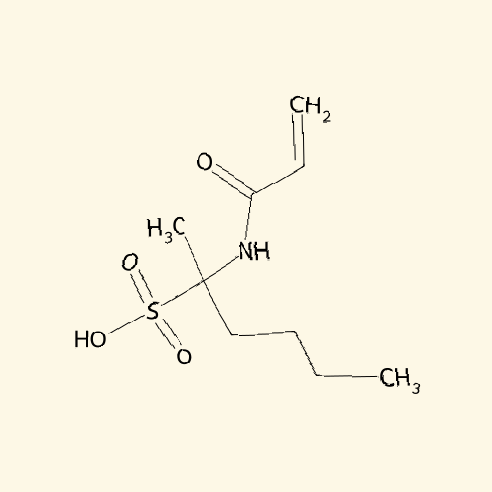 C=CC(=O)NC(C)(CCCC)S(=O)(=O)O